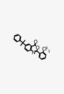 CC(C)(c1ccccc1)c1ccc2nc(-c3ccccc3C(F)(F)F)oc(=O)c2c1